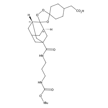 CC(C)(C)OC(=O)NCCCNC(=O)C12CC3C[C@H](C1)C1(OOC4(CCC(CC(=O)O)CC4)O1)[C@@H](C3)C2